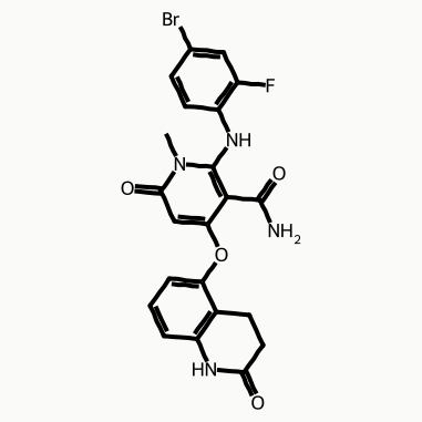 Cn1c(Nc2ccc(Br)cc2F)c(C(N)=O)c(Oc2cccc3c2CCC(=O)N3)cc1=O